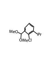 COC(OC)c1cccc(C(C)C)c1Cl